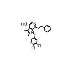 Cc1c(C)n(Cc2ccc(Cl)c(Cl)c2)c2c(CCc3ccccc3)nccc12.Cl